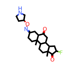 CC12CCC3C(CC(=O)C4CC(=NOC5CCNC5)CCC43C)C1CC(F)C2=O